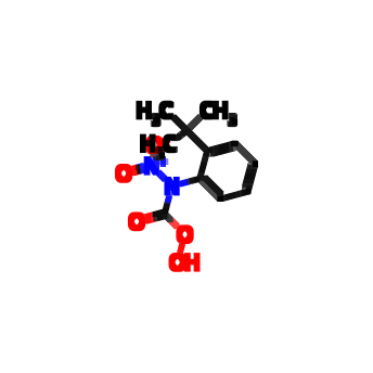 CC(C)(C)c1ccccc1N(C(=O)OO)[N+](=O)[O-]